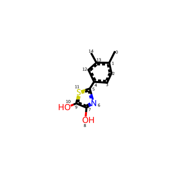 Cc1ccc(-c2nc(O)c(O)s2)cc1C